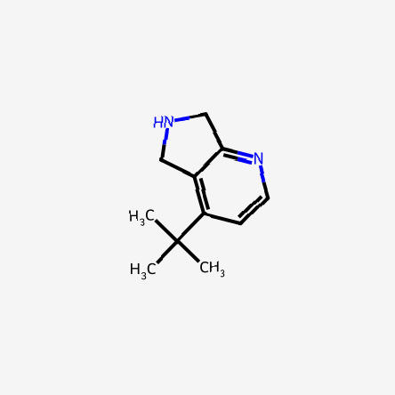 CC(C)(C)c1ccnc2c1CNC2